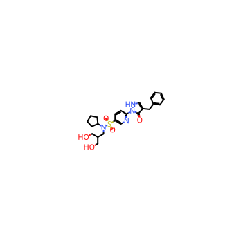 O=c1c(Cc2ccccc2)c[nH]n1-c1ccc(S(=O)(=O)N(CC(CO)CO)C2CCCC2)cn1